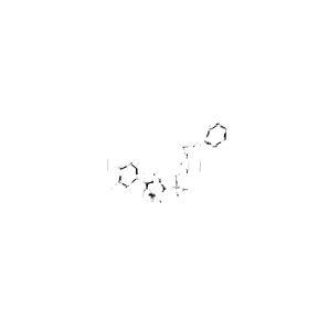 Fc1ccc(-c2nc(C3(CN[C@H]4C[C@@H]4c4ccccc4)CC3)no2)cc1